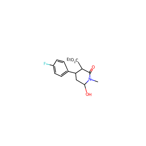 CCOC(=O)C1C(=O)N(C)C(O)CC1c1ccc(F)cc1